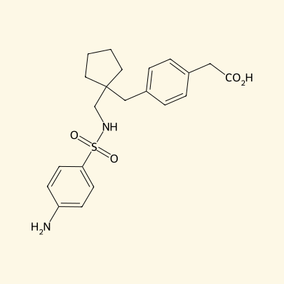 Nc1ccc(S(=O)(=O)NCC2(Cc3ccc(CC(=O)O)cc3)CCCC2)cc1